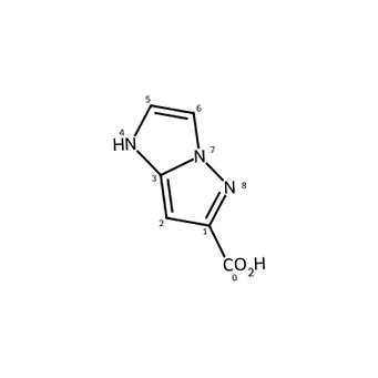 O=C(O)c1cc2[nH]ccn2n1